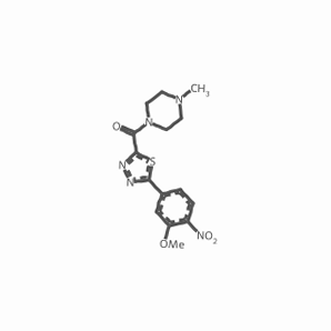 COc1cc(-c2nnc(C(=O)N3CCN(C)CC3)s2)ccc1[N+](=O)[O-]